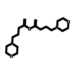 C=C(CCCN1CCOCC1)OC(=C)CCCN1CCOCC1